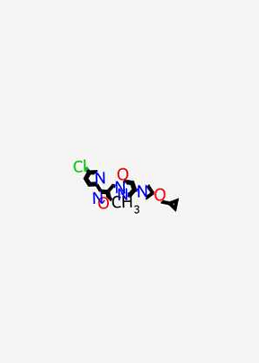 Cc1onc(-c2ccc(Cl)cn2)c1Cn1ncc(N2CC(OCC3CC3)C2)cc1=O